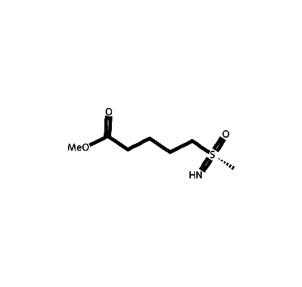 COC(=O)CCCC[S@](C)(=N)=O